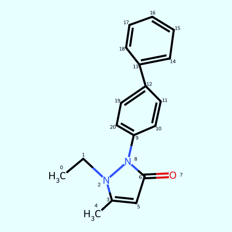 CCn1c(C)cc(=O)n1-c1ccc(-c2ccccc2)cc1